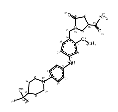 COc1cc(Nc2ccc(N3CCC(C(F)(F)F)CC3)cc2)ccc1CN1CC(C(N)=O)CC1=O